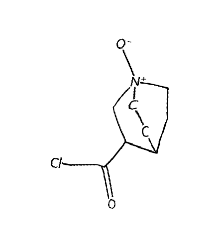 O=C(Cl)C1C[N+]2([O-])CCC1CC2